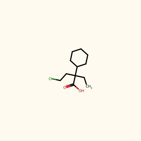 CCC(CCCl)(C(=O)O)C1CCCCC1